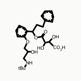 CC(C)(C)NCC(O)COc1ccccc1C(CCc1ccccc1)OC(=O)C(O)C(O)C(=O)O